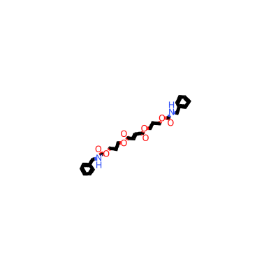 O=C(/C=C/C(=O)OCCCOC(=O)NCc1ccccc1)OCCCOC(=O)NCc1ccccc1